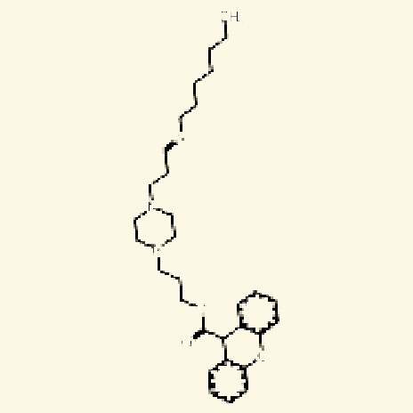 CCCCCCCN=CCCN1CCN(CCCOC(=O)C2c3ccccc3Oc3ccccc32)CC1